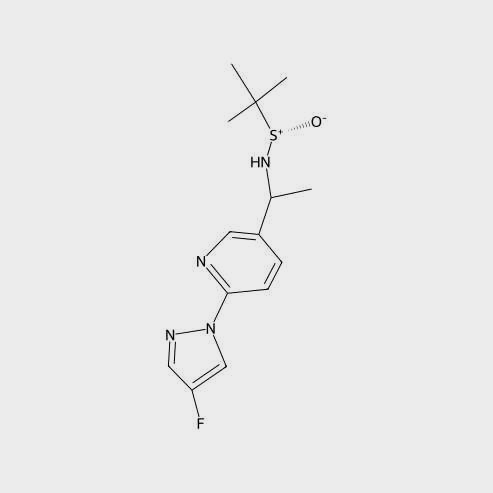 CC(N[S@@+]([O-])C(C)(C)C)c1ccc(-n2cc(F)cn2)nc1